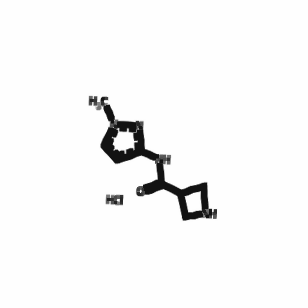 Cl.Cn1ccc(NC(=O)C2CNC2)n1